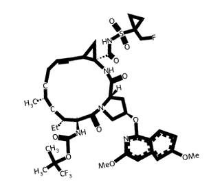 CC[C@@H]1C[C@H](C)CC/C=C\C2C[C@@]2(C(=O)NS(=O)(=O)C2(CF)CC2)NC(=O)[C@@H]2C[C@@H](Oc3nc(OC)cc4cc(OC)ccc34)CN2C(=O)[C@H]1NC(=O)OC(C)(C)C(F)(F)F